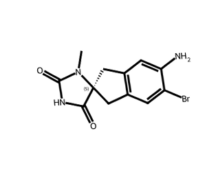 CN1C(=O)NC(=O)[C@@]12Cc1cc(N)c(Br)cc1C2